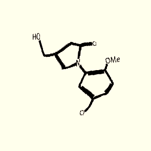 COc1ccc(Cl)cc1N1CC(CO)CC1=O